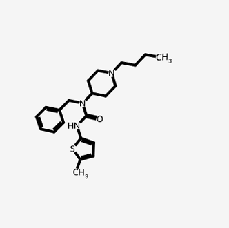 CCCCN1CCC(N(Cc2ccccc2)C(=O)Nc2ccc(C)s2)CC1